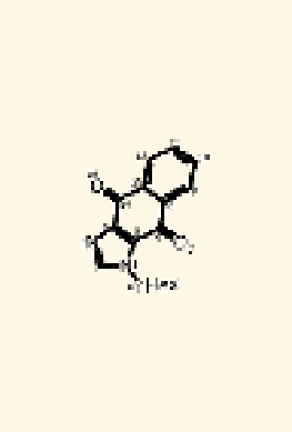 CCCCCCn1cnc2c1C(=O)c1ccccc1C2=O